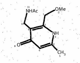 COCc1[nH]c(C)cc(=O)c1CNC(C)=O